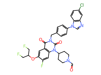 O=CN1CCC(n2c(=O)n(Cc3ccc(-n4cnc5cc(Cl)ccc54)cc3)c(=O)c3cc(OC(CF)CF)c(F)cc32)CC1